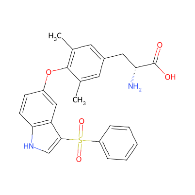 Cc1cc(C[C@@H](N)C(=O)O)cc(C)c1Oc1ccc2[nH]cc(S(=O)(=O)c3ccccc3)c2c1